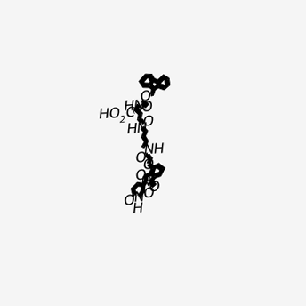 O=C(CC[C@H](NC(=O)OCC1c2ccccc2-c2ccccc21)C(=O)O)NCCCCNC(=O)COc1cccc2c1C(=O)N(C1CCC(=O)NC1=O)C2=O